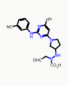 CCCc1cc(N2CCC(NN(CC=O)C(=O)O)C2)nc(Nc2cccc(C#N)c2)n1